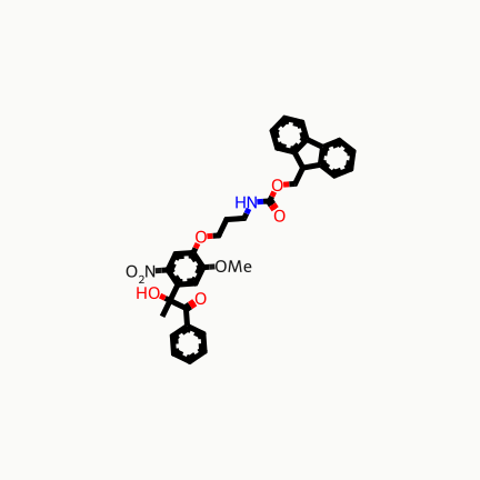 COc1cc(C(C)(O)C(=O)c2ccccc2)c([N+](=O)[O-])cc1OCCCNC(=O)OCC1c2ccccc2-c2ccccc21